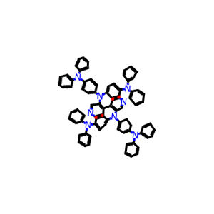 c1ncc(N(c2c#cc(N(c3ccccc3)c3ccccc3)cc2)c2ccc(N(c3ccccc3)c3ccccc3)cc2)c(C2=C(N(C3=CC=C(N(c4ccccc4)c4ccccc4)CC3)c3ccc(N(c4ccccc4)c4ccccc4)cc3)C=NCC2)c#1